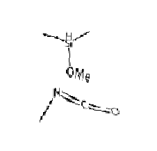 CN=C=O.CO[SiH](C)C